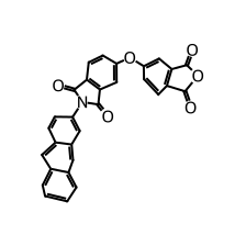 O=C1OC(=O)c2cc(Oc3ccc4c(c3)C(=O)N(c3ccc5cc6ccccc6cc5c3)C4=O)ccc21